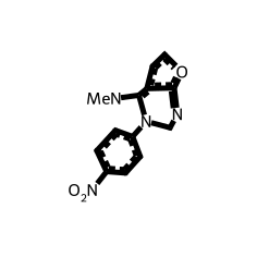 CNC1=c2ccoc2=NCN1c1ccc([N+](=O)[O-])cc1